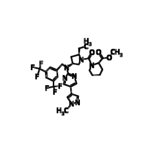 CC[C@@H]1C[C@H](N(Cc2cc(C(F)(F)F)cc(C(F)(F)F)c2)c2ncc(-c3cnn(C)c3)cn2)CN1C(=O)N1CCCCC1C(=O)OC